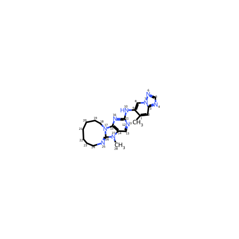 Cc1cc2ncnn2cc1Nc1ncc2c(n1)N1CCCCCCC/N=C\1N2C